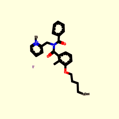 CCCCCCCCCCCCCCOc1cccc(C(=O)N(Cc2cccc[n+]2CC)C(=O)c2ccccc2)c1C.[I-]